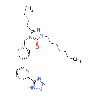 CCCCCCCn1nc(CCCC)n(Cc2ccc(-c3cccc(-c4nnn[nH]4)c3)cc2)c1=O